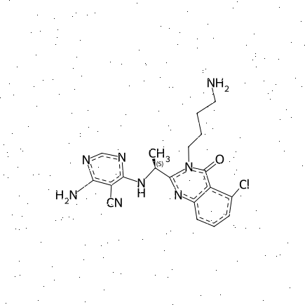 C[C@H](Nc1ncnc(N)c1C#N)c1nc2cccc(Cl)c2c(=O)n1CCCCN